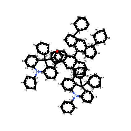 c1ccc(-c2cccc3c(-c4c5cccc(-c6cccc7c6C(c6ccccc6)(c6ccccc6)c6ccccc6N7c6ccccc6)c5cc5c(-c6cccc7c6C(c6ccccc6)(c6ccccc6)c6ccccc6N7c6ccccc6)cccc45)c4cccc(-c5ccccc5)c4cc23)cc1